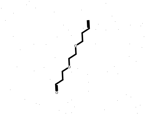 C=CCCOCCOCCC=O